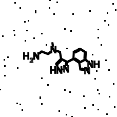 CN(CCN)Cc1c[nH]nc1-c1cccc2[nH]ncc12